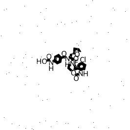 O=C(O)Nc1ccc(C(=O)NC(C[C@H]2CCCO2)C(=O)N2CCC[C@@]3(C2)OC(=O)Nc2ccc(Cl)c(F)c23)cc1